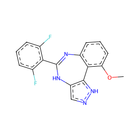 COc1cccc2c1-c1[nH]ncc1NC(c1c(F)cccc1F)=N2